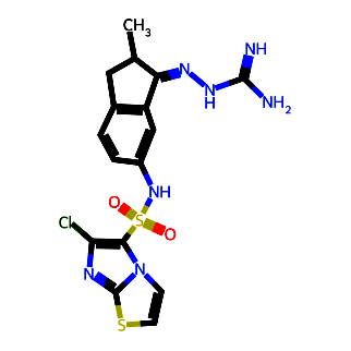 CC1Cc2ccc(NS(=O)(=O)c3c(Cl)nc4sccn34)cc2/C1=N\NC(=N)N